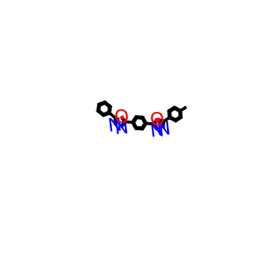 Cc1ccc(-c2nnc(-c3ccc(-c4nnc(-c5ccccc5)o4)cc3)o2)cc1